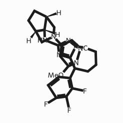 COc1cc(N2C[C@H]3CC[C@@H](C2)[C@H]3Nc2nc3n(n2)CCCCC3c2ccc(F)c(F)c2F)cnn1